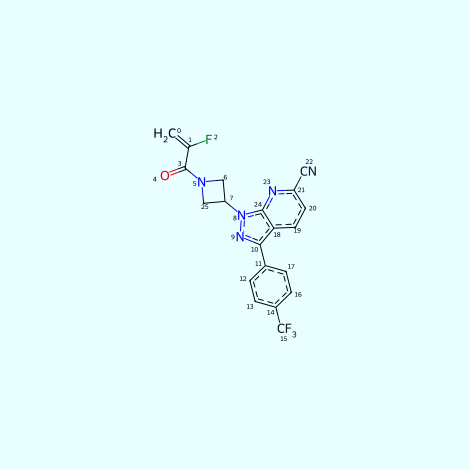 C=C(F)C(=O)N1CC(n2nc(-c3ccc(C(F)(F)F)cc3)c3ccc(C#N)nc32)C1